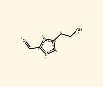 O=Cc1ncc(CCO)s1